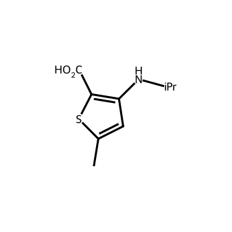 Cc1cc(NC(C)C)c(C(=O)O)s1